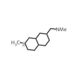 CNCC1CCC2CC[C@@H](C)CC2C1